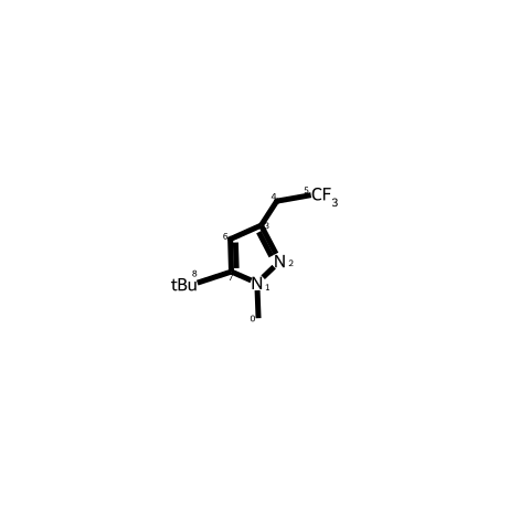 Cn1nc(CC(F)(F)F)cc1C(C)(C)C